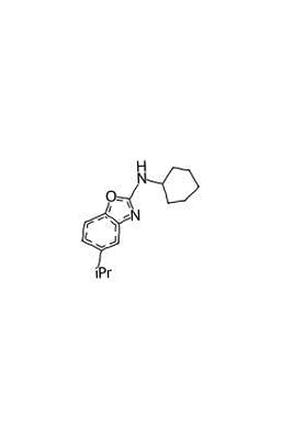 CC(C)c1ccc2oc(NC3CCCCC3)nc2c1